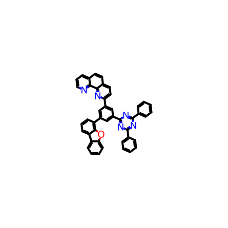 c1ccc(-c2nc(-c3ccccc3)nc(-c3cc(-c4ccc5ccc6cccnc6c5n4)cc(-c4cccc5c4oc4ccccc45)c3)n2)cc1